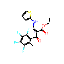 CCOC(=O)/C(=C\Nc1cccs1)C(=O)c1c(C)c(F)c(F)c(F)c1F